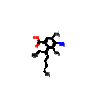 CCCCCC(CC)c1c(C(=O)O)cc(C)c(N)c1C